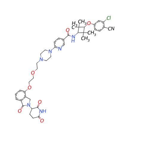 CC1(C)C(NC(=O)c2ccc(N3CCN(CCOCCOc4cccc5c4CN(C4CCC(=O)NC4=O)C5=O)CC3)nc2)C(C)(C)C1Oc1ccc(C#N)c(Cl)c1